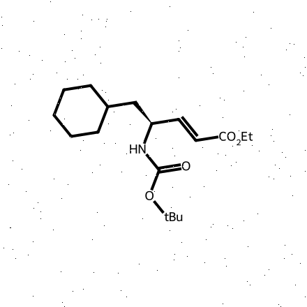 CCOC(=O)/C=C/[C@H](CC1CCCCC1)NC(=O)OC(C)(C)C